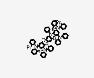 CC(C)c1ccccc1N(c1cc2c3c(c1)N(c1ccccc1)c1ccccc1B3c1cc3c(cc1O2)N(c1ccccc1)c1cc(N(c2ccccc2C(C)C)c2ccccc2C(C)C)cc2c1B3c1ccccc1N2c1ccccc1)c1ccccc1C(C)C